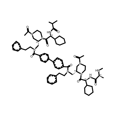 CN[C@@H](C)C(=O)N[C@H](C(=O)N1CCN(C(C)=O)C[C@H]1CN(CCc1ccccc1)C(=O)c1ccc(-c2ccc(C(=O)N(CCc3ccccc3)C[C@@H]3CN(C(C)=O)CCN3C(=O)[C@@H](NC(=O)C(C)C)C3CCCCC3)cc2)cc1)C1CCCCC1